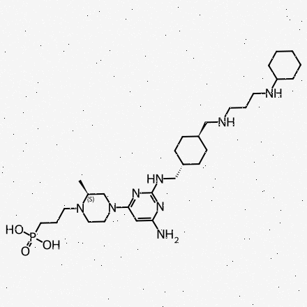 C[C@H]1CN(c2cc(N)nc(NC[C@H]3CC[C@H](CNCCCNC4CCCCC4)CC3)n2)CCN1CCCP(=O)(O)O